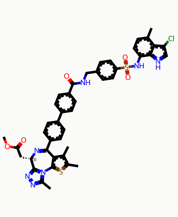 COC(=O)C[C@@H]1N=C(c2ccc(-c3ccc(C(=O)NCc4ccc(S(=O)(=O)Nc5ccc(C)c6c(Cl)c[nH]c56)cc4)cc3)cc2)c2c(sc(C)c2C)-n2c(C)nnc21